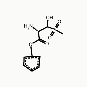 CS(=O)(=O)[C@H](O)[C@H](N)C(=O)Oc1ccccc1